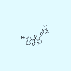 Cc1cc(OCCC23CCC(C)(O2)C2C(=O)N(c4ccc(C#N)c5ccccc45)C(=O)C23)nc(C(C)C)n1